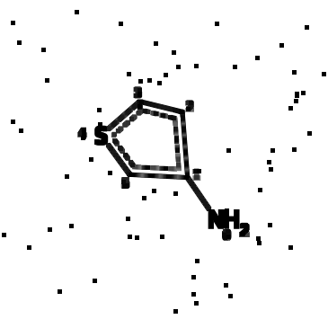 Nc1c[c]sc1